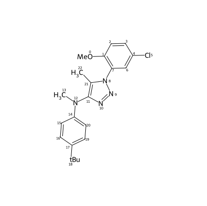 COc1ccc(Cl)cc1-n1nnc(N(C)c2ccc(C(C)(C)C)cc2)c1C